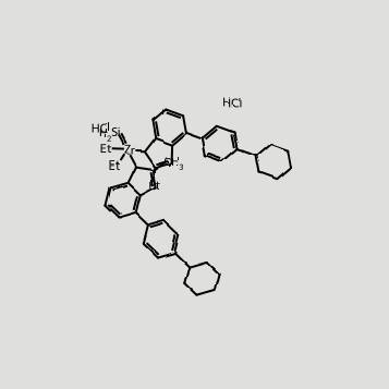 CCC1=Cc2c(-c3ccc(C4CCCCC4)cc3)cccc2[CH]1[Zr](=[SiH2])([CH2]C)([CH2]C)[CH]1C(C)=Cc2c(-c3ccc(C4CCCCC4)cc3)cccc21.Cl.Cl